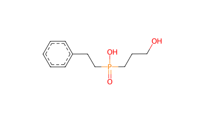 O=P(O)(CCCO)CCc1ccccc1